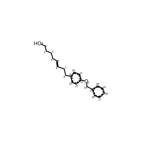 OCCCCC=CCCc1ccc(OCc2ccccc2)cc1